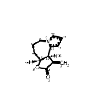 C=C1C(=O)O[C@@H]2CCCn3cccc3[C@@H]12